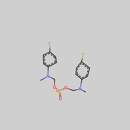 CN(CO[PH](=O)OCN(C)c1ccc(F)cc1)c1ccc(F)cc1